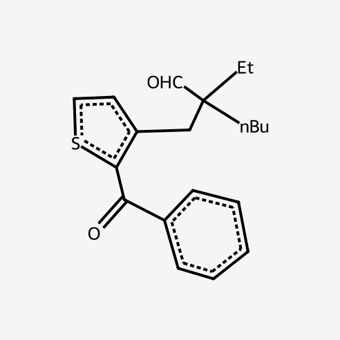 CCCCC(C=O)(CC)Cc1ccsc1C(=O)c1ccccc1